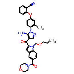 CCCOCn1c(C(=O)c2cnn(-c3ccc(Oc4ccccc4C#N)cc3C)c2N)cc2cc(C(=O)N3CCOCC3)ccc21